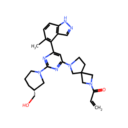 C=CC(=O)N1CC2(CCN(c3cc(-c4c(C)ccc5[nH]ncc45)nc(N4CCC[C@@H](CO)C4)n3)C2)C1